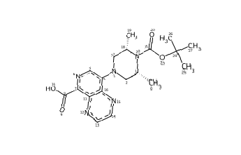 C[C@@H]1CN(c2cnc(C(=O)O)c3nccnc23)C[C@H](C)N1C(=O)OC(C)(C)C